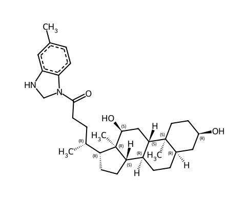 Cc1ccc2c(c1)NCN2C(=O)CC[C@@H](C)[C@H]1CC[C@H]2[C@@H]3CC[C@@H]4C[C@H](O)CC[C@]4(C)[C@H]3C[C@H](O)[C@]12C